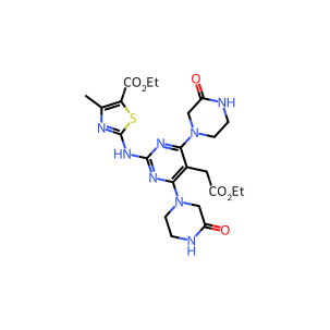 CCOC(=O)Cc1c(N2CCNC(=O)C2)nc(Nc2nc(C)c(C(=O)OCC)s2)nc1N1CCNC(=O)C1